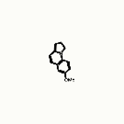 COc1ccc2c(c1)C=CC1=CCCN12